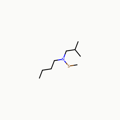 CCCCN(CC(C)C)SC